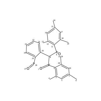 Cc1cc(C)c(C(=O)C(C(=O)c2c(C)cc(C)cc2C)c2ccccc2P=O)c(C)c1